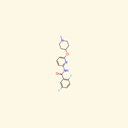 CN1CCC(Oc2cccc(NC(=O)c3cc(F)ccc3F)n2)CC1